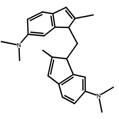 CC1=Cc2ccc(N(C)C)cc2C1CC1C(C)=Cc2ccc(N(C)C)cc21